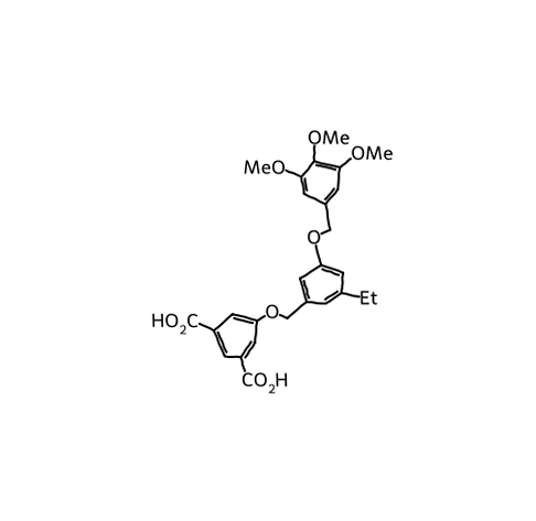 CCc1cc(COc2cc(C(=O)O)cc(C(=O)O)c2)cc(OCc2cc(OC)c(OC)c(OC)c2)c1